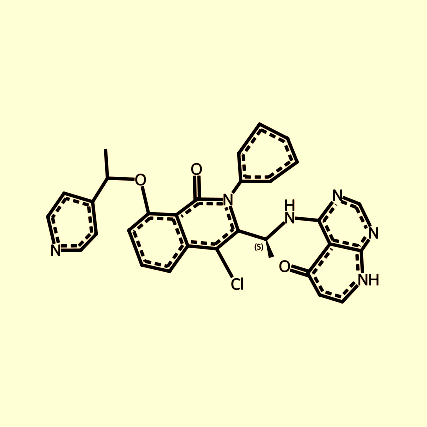 CC(Oc1cccc2c(Cl)c([C@H](C)Nc3ncnc4[nH]ccc(=O)c34)n(-c3ccccc3)c(=O)c12)c1ccncc1